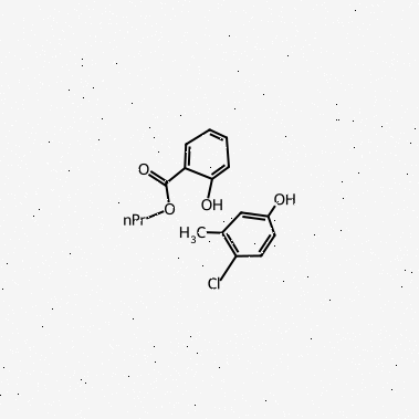 CCCOC(=O)c1ccccc1O.Cc1cc(O)ccc1Cl